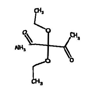 CCOC([C]=O)(OCC)C(C)=O.[AlH3]